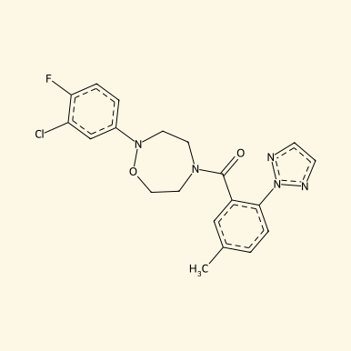 Cc1ccc(-n2nccn2)c(C(=O)N2CCON(c3ccc(F)c(Cl)c3)CC2)c1